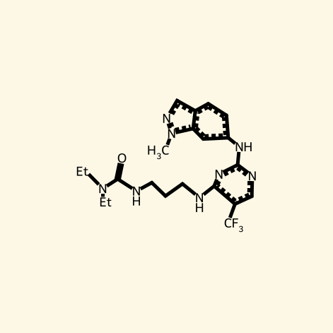 CCN(CC)C(=O)NCCCNc1nc(Nc2ccc3cnn(C)c3c2)ncc1C(F)(F)F